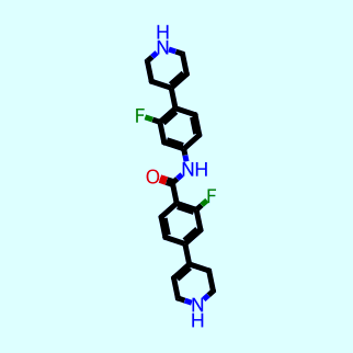 O=C(Nc1ccc(C2=CCNCC2)c(F)c1)c1ccc(C2=CCNCC2)cc1F